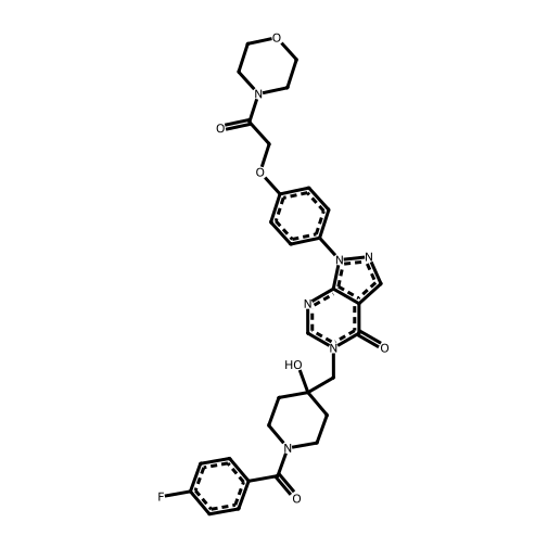 O=C(COc1ccc(-n2ncc3c(=O)n(CC4(O)CCN(C(=O)c5ccc(F)cc5)CC4)cnc32)cc1)N1CCOCC1